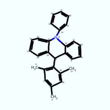 Cc1cc(C)c(C2c3ccccc3N(c3ccccc3)c3ccccc32)c(C)c1